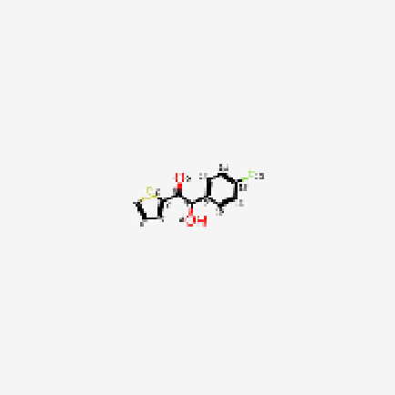 O=C(c1cccs1)C(O)c1ccc(F)cc1